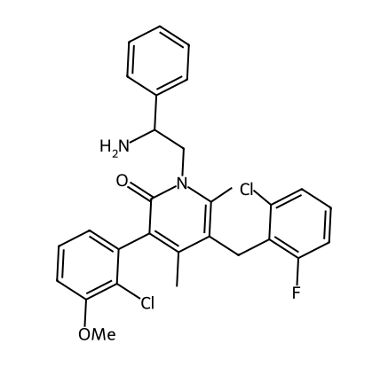 COc1cccc(-c2c(C)c(Cc3c(F)cccc3Cl)c(C)n(CC(N)c3ccccc3)c2=O)c1Cl